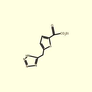 CCOC(=O)C(=O)c1ccc(Cc2nnn[nH]2)s1